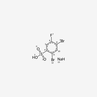 O=S(=O)(O)c1cc(F)c(Br)cc1Br.[NaH]